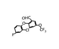 O=Cc1cc(OC(F)(F)F)ccc1Oc1ccc(F)cc1Cl